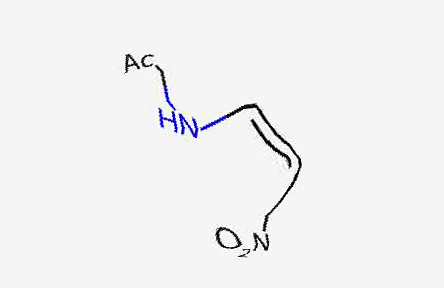 CC(=O)N/C=C\[N+](=O)[O-]